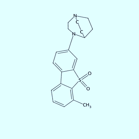 Cc1cccc2c1S(=O)(=O)c1cc(N3CCN4CCC3CC4)ccc1-2